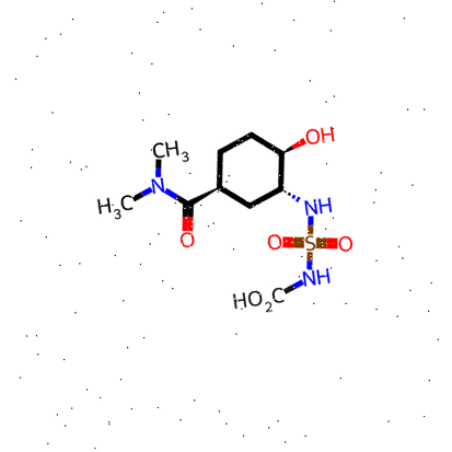 CN(C)C(=O)[C@H]1CC[C@@H](O)[C@H](NS(=O)(=O)NC(=O)O)C1